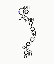 C[C@@]1(O)CC/C=C\Cn2c(=O)c3cnc(Nc4ccc(C5CCC6(CC5)CCN(CC5CCN(c7ccc8c(c7)CN(C7CCC(=O)NC7=O)C8=O)CC5)CC6)cc4)nc3n2-c2cccc1n2